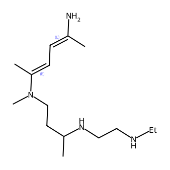 CCNCCNC(C)CCN(C)/C(C)=C/C=C(\C)N